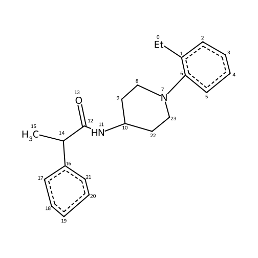 CCc1ccccc1N1CCC(NC(=O)C(C)c2ccccc2)CC1